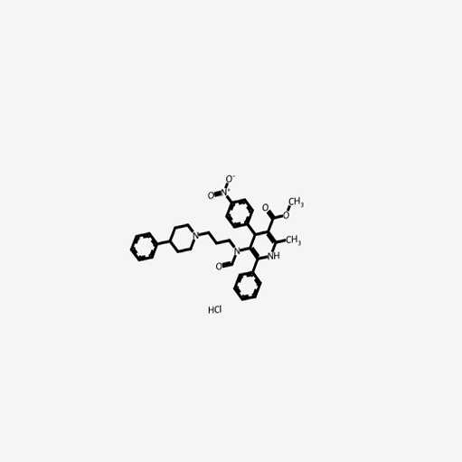 COC(=O)C1=C(C)NC(c2ccccc2)=C(N(C=O)CCCN2CCC(c3ccccc3)CC2)C1c1ccc([N+](=O)[O-])cc1.Cl